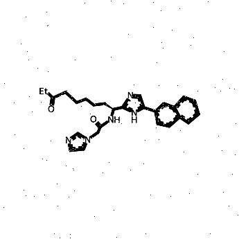 CCC(=O)CCCCC[C@H](NC(=O)Cn1ccnc1)c1ncc(-c2ccc3ccccc3c2)[nH]1